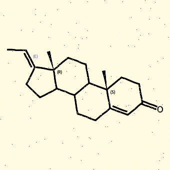 C/C=C1\CCC2C3CCC4=CC(=O)CC[C@@]4(C)C3CC[C@@]12C